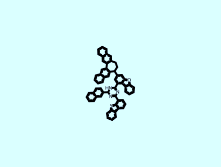 c1ccc2cc(C3N=C(c4cccc5c4sc4ccccc45)N=C(c4cc(C5CCc6cc7ccccc7cc6-c6cc7ccccc7cc65)cc5oc6ccccc6c45)N3)ccc2c1